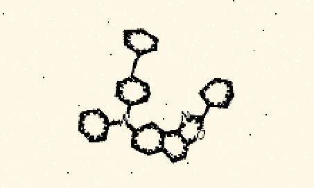 c1ccc(-c2ccc(N(c3ccccc3)c3ccc4ccc5oc(-c6ccccc6)nc5c4c3)cc2)cc1